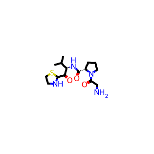 CC(C)[C@H](NC(=O)[C@@H]1CCCN1C(=O)CN)C(=O)C1NCCS1